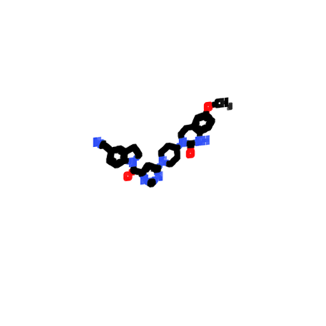 COc1ccc2c(c1)CCN(C1CCN(c3cc(C(=O)N4CCc5cc(C#N)ccc54)ncn3)CC1)C(=O)N2